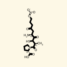 C[C@@H](C(=O)N1CCC[C@H]1C(=O)O)C(S)C(=O)[C@@H](N)CC(=O)CCCO[N+](=O)[O-]